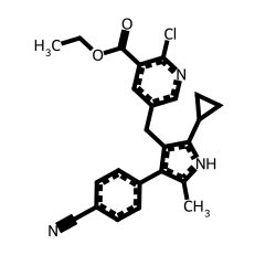 CCOC(=O)c1cc(Cc2c(C3CC3)[nH]c(C)c2-c2ccc(C#N)cc2)cnc1Cl